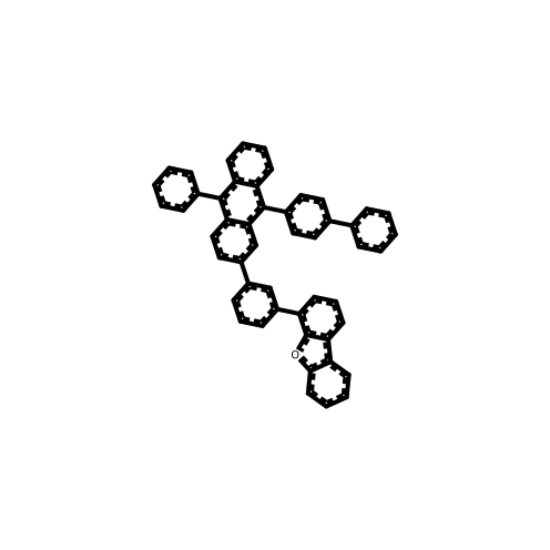 c1ccc(-c2ccc(-c3c4ccccc4c(-c4ccccc4)c4ccc(-c5cccc(-c6cccc7c6oc6ccccc67)c5)cc34)cc2)cc1